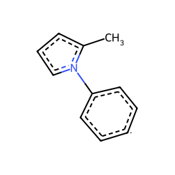 Cc1cccn1-c1cc[c]cc1